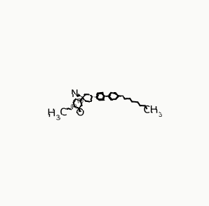 CCCCCCCCc1ccc(-c2ccc([C@H]3CC[C@@](C#N)([C@@H]4CC[C@@H](CCC)C(=O)C4)CC3)cc2)cc1